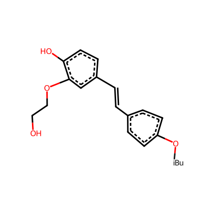 CCC(C)Oc1ccc(/C=C/c2ccc(O)c(OCCO)c2)cc1